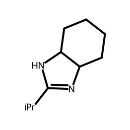 CC(C)C1=NC2CCCCC2N1